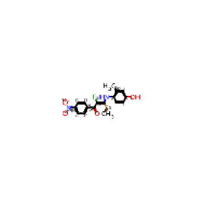 CS/C(Nc1ccc(O)cc1C)=C(/F)C(=O)c1ccc([N+](=O)[O-])cc1